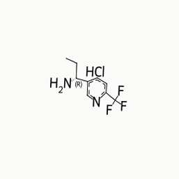 CC[C@@H](N)c1ccc(C(F)(F)F)nc1.Cl